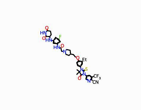 CCc1cc(N2C(=S)N(c3cnc(C#N)c(C(F)(F)F)c3)C(=O)C2(C)C)ccc1OCCC1CCN(CC(=O)Nc2cc(F)cc(NC3CCC(=O)NC3=O)c2)CC1